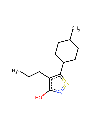 CCCc1c(O)nsc1C1CCC(C)CC1